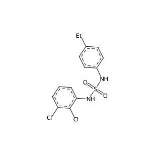 CCc1ccc(NS(=O)(=O)Nc2cccc(Cl)c2Cl)cc1